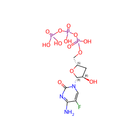 Nc1nc(=O)n([C@@H]2O[C@H](COP(=O)(O)OP(=O)(O)OP(=O)(O)O)C[C@H]2O)cc1F